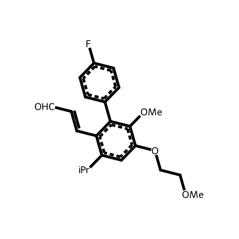 COCCOc1cc(C(C)C)c(C=CC=O)c(-c2ccc(F)cc2)c1OC